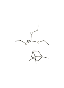 CC12CCC(C1)C2(C)C.CCO[SiH](OCC)OCC